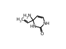 C=CC1(N)C=CNC(=O)N1